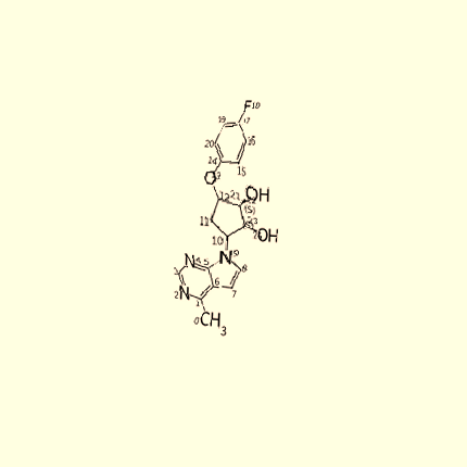 Cc1ncnc2c1ccn2C1CC(Oc2ccc(F)cc2)[C@@H](O)[C@H]1O